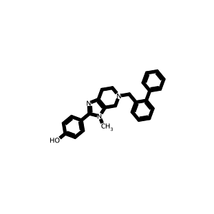 Cn1c(-c2ccc(O)cc2)nc2c1CN(Cc1ccccc1-c1ccccc1)CC2